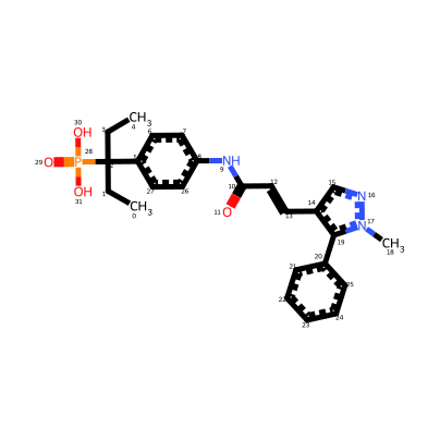 CCC(CC)(c1ccc(NC(=O)C=Cc2cnn(C)c2-c2ccccc2)cc1)P(=O)(O)O